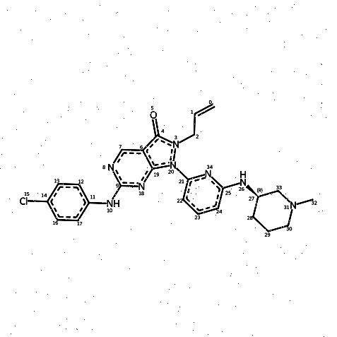 C=CCn1c(=O)c2cnc(Nc3ccc(Cl)cc3)nc2n1-c1cccc(N[C@@H]2CCCN(C)C2)n1